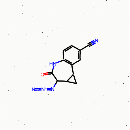 N#Cc1ccc2c(c1)C1CC1C(N=[N+]=[N-])C(=O)N2